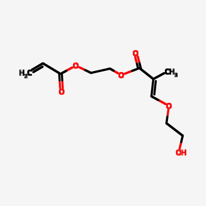 C=CC(=O)OCCOC(=O)C(C)=COCCO